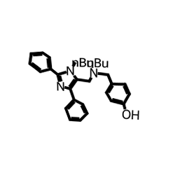 CCCCN(Cc1ccc(O)cc1)Cc1c(-c2ccccc2)nc(-c2ccccc2)n1CCCC